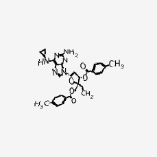 C=C[C@]1(COC(=O)c2ccc(C)cc2)O[C@@H](n2cnc3c(NC4CC4)nc(N)nc32)C[C@@H]1OC(=O)c1ccc(C)cc1